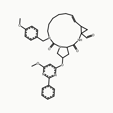 COc1ccc(CN2CCCCC/C=C/C3CC3([C]=O)NC(=O)C3CC(Oc4cc(OC)nc(-c5ccccc5)n4)CN3C2=O)cc1